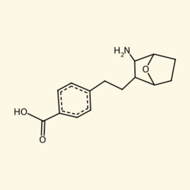 NC1C2CCC(O2)C1CCc1ccc(C(=O)O)cc1